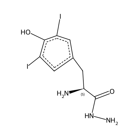 NNC(=O)[C@@H](N)Cc1cc(I)c(O)c(I)c1